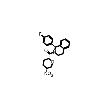 O=C([C@H]1CC[C@@H]([N+](=O)[O-])CO1)N1CCc2ccccc2[C@@H]1c1ccc(F)cc1